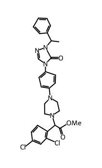 COC(=O)C(c1ccc(Cl)cc1Cl)N1CCN(c2ccc(-n3cnn(C(C)c4ccccc4)c3=O)cc2)CC1